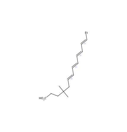 CC/C=C/C=C/C=C/C=C/CC(C)(C)CCC(=O)O